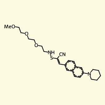 COCCOCCOCCNS/C(C#N)=C/c1ccc2cc(N3CCCCC3)ccc2c1